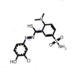 CN(C)C1C=CC(S(N)(=O)=O)=C/C1=C(S)\N=N\c1ccc(O)c(Cl)c1